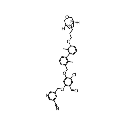 Cc1c(COc2cc(OCc3cncc(C#N)c3)c(C=O)cc2Cl)cccc1-c1cccc(OCCCN2[C@@H]3CC[C@H]2COC3)c1C